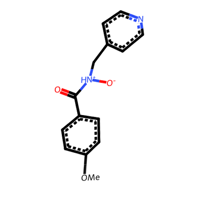 COc1ccc(C(=O)[NH+]([O-])Cc2ccncc2)cc1